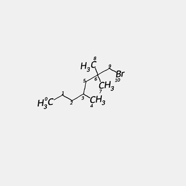 CCCC(C)CC(C)(C)CBr